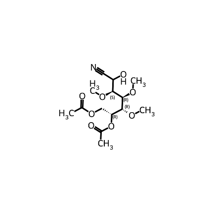 CO[C@@H]([C@H](OC)[C@@H](OC)C(O)C#N)[C@@H](COC(C)=O)OC(C)=O